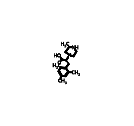 Cc1cc(C)c(C[C@@H](C(=O)O)N2CCN[C@@H](C)C2)c(C)c1